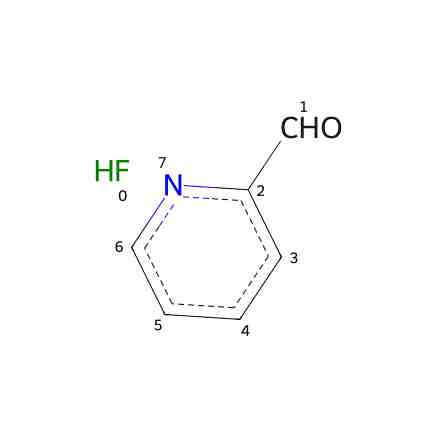 F.O=Cc1ccccn1